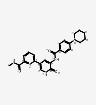 CNC(=O)c1cccc(-c2c[nH]c(=O)c(NC(=O)c3ccc(N4CCCCC4)cc3)c2)n1